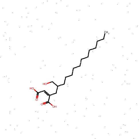 CCCCCCCCCCCCC(CO)CC(=CC(=O)O)C(=O)O